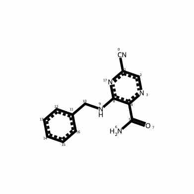 N#Cc1cnc(C(N)=O)c(NCc2ccccc2)n1